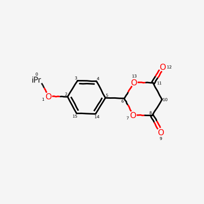 CC(C)Oc1ccc(C2OC(=O)CC(=O)O2)cc1